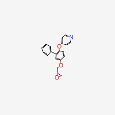 c1ccc(-c2cc(OCC3CO3)ccc2Oc2ccncc2)cc1